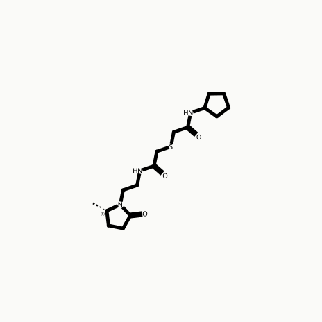 C[C@H]1CCC(=O)N1CCNC(=O)CSCC(=O)NC1CCCC1